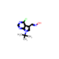 CC(C)(C)n1cc(/C=N/O)c2c(Cl)ncnc21